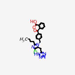 CCCCc1nc(Cl)c(Cc2nnn[nH]2)n1Cc1ccc(C(=O)c2ccccc2C(=O)O)cc1